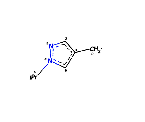 [CH2]c1cnn(C(C)C)c1